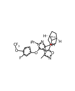 Cc1noc(N2C[C@H]3CC[C@@H](C2)C3Nc2nc(Oc3ccc(OC(F)(F)F)c(F)c3)n(C(C)C)n2)n1